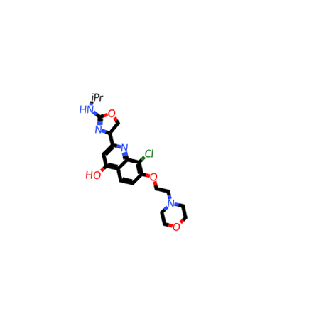 CC(C)NC1=NC(c2cc(O)c3ccc(OCCN4CCOCC4)c(Cl)c3n2)CO1